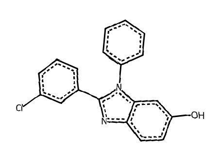 Oc1ccc2nc(-c3cccc(Cl)c3)n(-c3ccccc3)c2c1